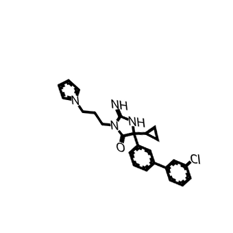 N=C1NC(c2cccc(-c3cccc(Cl)c3)c2)(C2CC2)C(=O)N1CCCn1cccc1